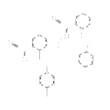 CON=C(C#N)c1ccccc1COc1ccc(C)cc1C.CON=C(C#N)c1ccccc1COc1cccc(C)c1C